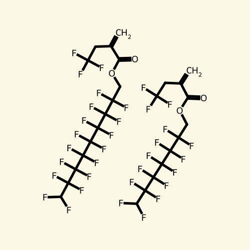 C=C(CC(F)(F)F)C(=O)OCC(F)(F)C(F)(F)C(F)(F)C(F)(F)C(F)(F)C(F)(F)C(F)(F)C(F)F.C=C(CC(F)(F)F)C(=O)OCC(F)(F)C(F)(F)C(F)(F)C(F)(F)C(F)(F)C(F)F